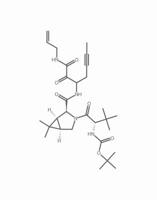 C=CCNC(=O)C(=O)C(CC#CC)NC(=O)[C@@H]1[C@H]2[C@@H](CN1C(=O)[C@@H](NC(=O)OC(C)(C)C)C(C)(C)C)C2(C)C